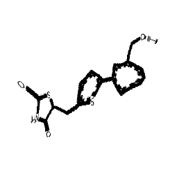 O=C1NC(=O)C(Cc2ccc(-c3cccc(CO)c3)s2)S1